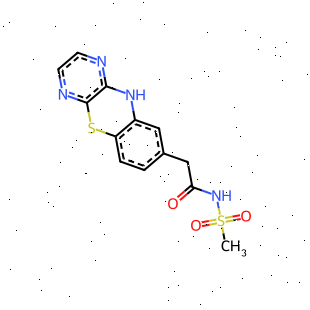 CS(=O)(=O)NC(=O)Cc1ccc2c(c1)Nc1nccnc1S2